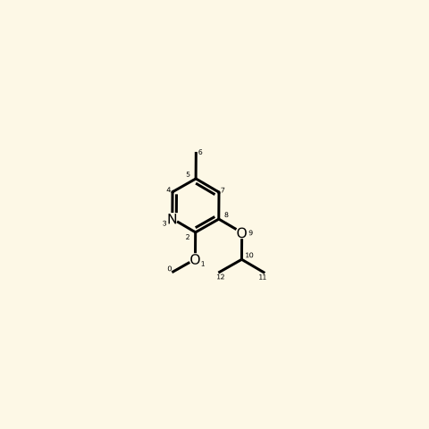 COc1ncc(C)cc1OC(C)C